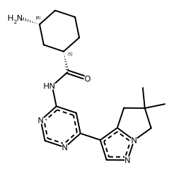 CC1(C)Cc2c(-c3cc(NC(=O)[C@H]4CCC[C@@H](N)C4)ncn3)cnn2C1